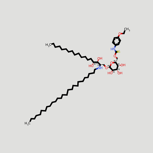 CCCCCCCCCCCCCCCCCCCCCCCCCCN[C@@H](CO[C@@H]1O[C@H](COC(=S)Nc2ccc(OCC)cc2)[C@H](O)[C@H](O)[C@H]1O)[C@H](O)[C@H](O)CCCCCCCCCCCCCC